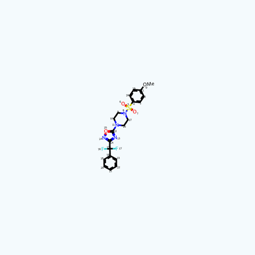 COc1ccc(S(=O)(=O)N2CCN(c3nc(C(F)(F)c4ccccc4)no3)CC2)cc1